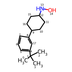 CC(C)(C)c1cccc([C]2CCC(NO)CC2)c1